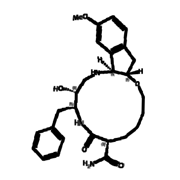 COc1ccc2c(c1)[C@@H]1NC[C@@H](O)[C@H](Cc3ccccc3)NC(=O)[C@H](C(N)=O)CCCCO[C@H]1C2